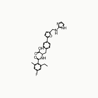 CCc1cc(F)cc(C)c1C(=O)NC(Cc1ccc(-c2ccc(CNc3ncc[nH]3)o2)cc1)C(=O)O